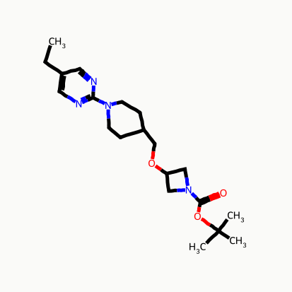 CCc1cnc(N2CCC(COC3CN(C(=O)OC(C)(C)C)C3)CC2)nc1